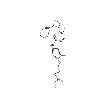 CCN(CC)CCCOc1c(C)cc(Nc2ncc(C)c(N3OCCC3c3ccccc3)n2)cc1C